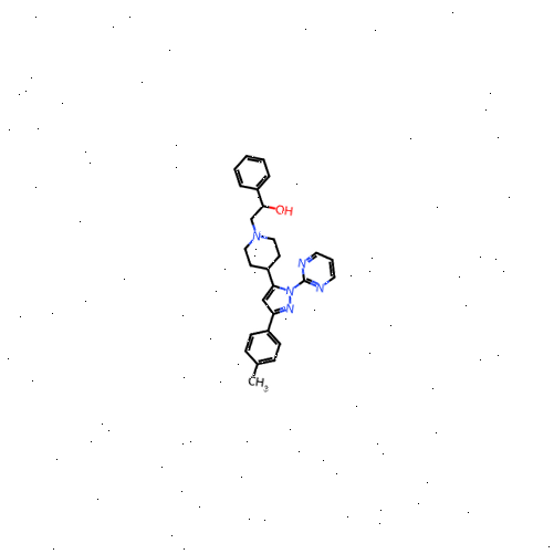 Cc1ccc(-c2cc(C3CCN(CC(O)c4ccccc4)CC3)n(-c3ncccn3)n2)cc1